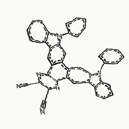 N#Cc1nc2c3cc4c5ccccc5n(-c5ccccc5)c4cc3c3cc4c(cc3c2nc1C#N)c1ccccc1n4-c1ccccc1